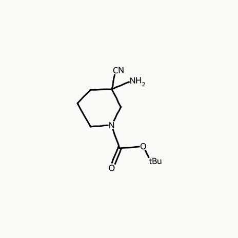 CC(C)(C)OC(=O)N1CCCC(N)(C#N)C1